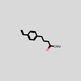 [CH]=Cc1ccc(CCCC(=O)OC)cc1